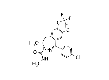 CNC(=O)N1N=C(c2ccc(Cl)cc2)c2cc(Cl)c(OC(F)(F)F)cc2C[C@@H]1C